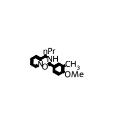 CCCC(NC(=O)c1ccc(OC)c(C)c1)c1ccccn1